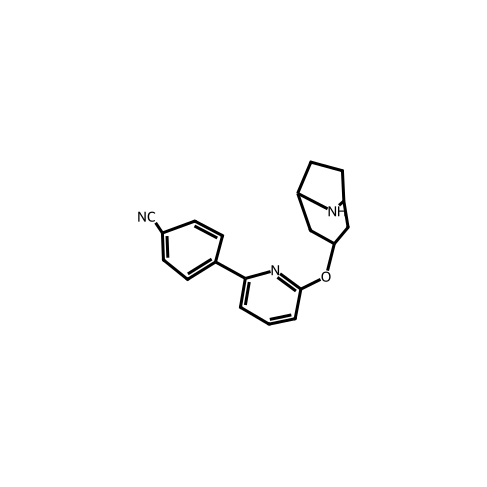 N#Cc1ccc(-c2cccc(OC3CC4CCC(C3)N4)n2)cc1